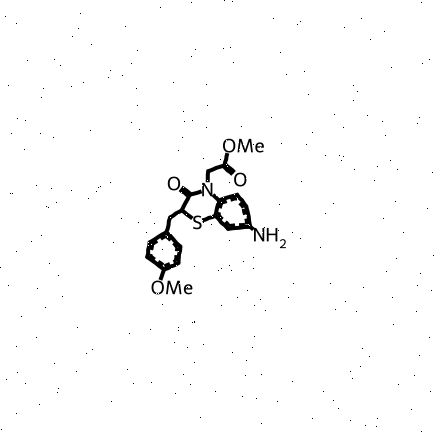 COC(=O)CN1C(=O)C(Cc2ccc(OC)cc2)Sc2cc(N)ccc21